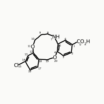 O=C(O)c1ccc2c(c1)NCCCOc1cc(Cl)ccc1CO2